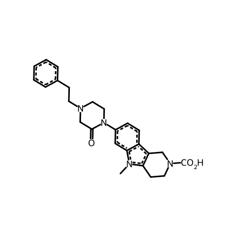 Cn1c2c(c3ccc(N4CCN(CCc5ccccc5)CC4=O)cc31)CN(C(=O)O)CC2